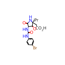 CC(C)C1(CC(=O)O)NC(=O)C(NC(=O)Nc2ccc(Br)cc2)C1=O